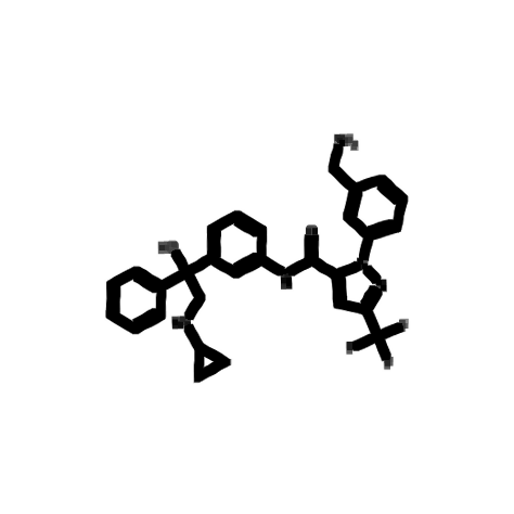 NCc1cccc(-n2nc(C(F)(F)F)cc2C(=O)Nc2cccc(C(O)(CNC3CC3)c3ccccc3)c2)c1